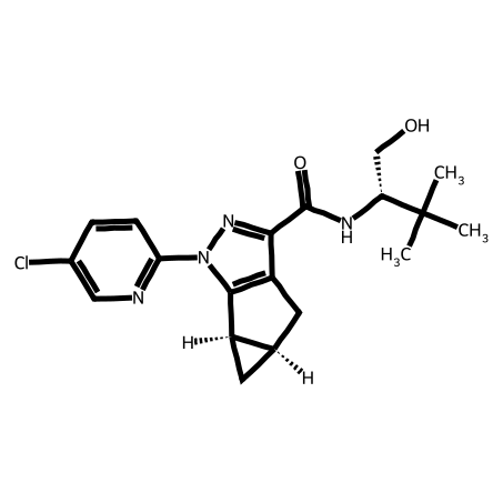 CC(C)(C)[C@@H](CO)NC(=O)c1nn(-c2ccc(Cl)cn2)c2c1C[C@H]1C[C@@H]21